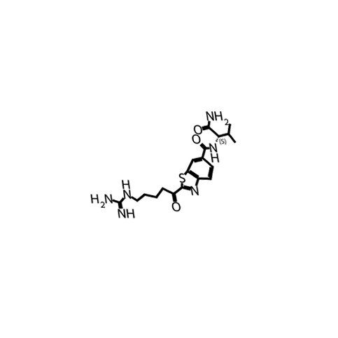 CC(C)[C@H](NC(=O)c1ccc2nc(C(=O)CCCCNC(=N)N)sc2c1)C(N)=O